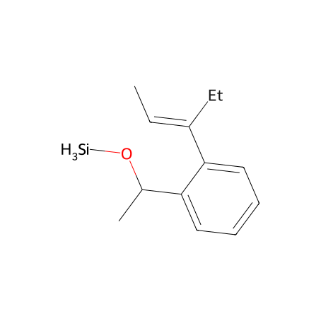 CC=C(CC)c1ccccc1C(C)O[SiH3]